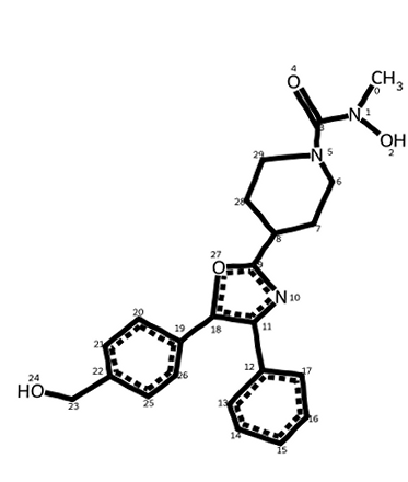 CN(O)C(=O)N1CCC(c2nc(-c3ccccc3)c(-c3ccc(CO)cc3)o2)CC1